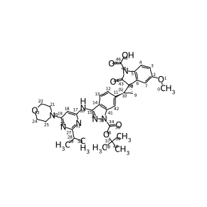 COc1ccc2c(c1)[C@]1(C[C@H]1c1ccc3c(Nc4cc(N5CCOCC5)nc(C(C)C)n4)nn(C(=O)OC(C)(C)C)c3c1)C(=O)N2C(=O)O